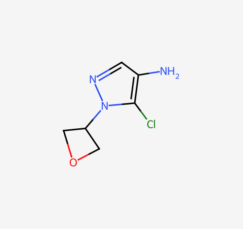 Nc1cnn(C2COC2)c1Cl